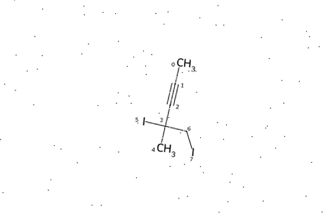 CC#CC(C)(I)CI